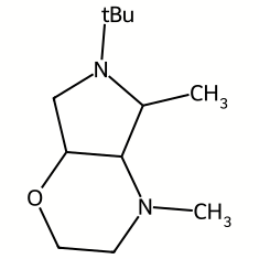 CC1C2C(CN1C(C)(C)C)OCCN2C